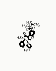 CC(C)N(C)S(=O)(=O)c1ccc2c(c1)C(C(=O)N(C)[C@H](CN1CC[C@H](O)C1)c1ccccc1)CCO2